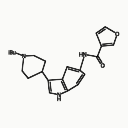 CCC(C)N1CCC(c2c[nH]c3ccc(NC(=O)c4ccoc4)cc23)CC1